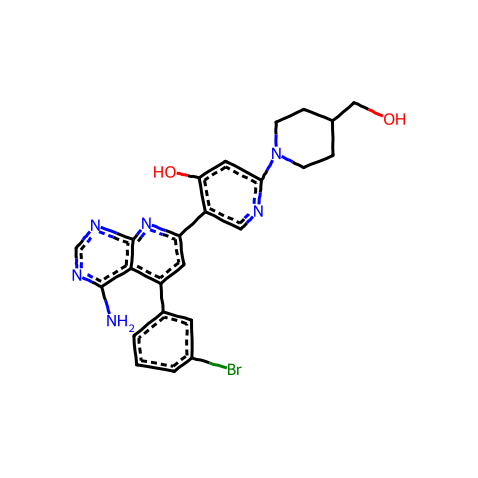 Nc1ncnc2nc(-c3cnc(N4CCC(CO)CC4)cc3O)cc(-c3cccc(Br)c3)c12